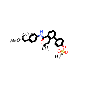 C=CCc1c(C(=O)Nc2ccc(C[C@H](OC)C(=O)O)cc2)cccc1-c1ccc(OS(C)(=O)=O)cc1